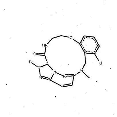 CN1Cc2c(Cl)cccc2OCCNC(=O)C2N(F)N=C3C=CC1=NN32